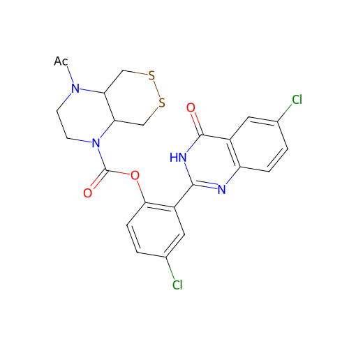 CC(=O)N1CCN(C(=O)Oc2ccc(Cl)cc2-c2nc3ccc(Cl)cc3c(=O)[nH]2)C2CSSCC21